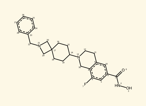 O=C(NO)c1cc(F)c2c(c1)CCN(C1CCC3(CC1)CN(Cc1ccccc1)C3)C2